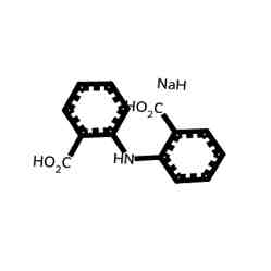 O=C(O)c1ccccc1Nc1ccccc1C(=O)O.[NaH]